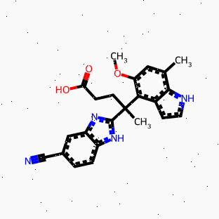 COc1cc(C)c2[nH]ccc2c1C(C)(CCC(=O)O)c1nc2cc(C#N)ccc2[nH]1